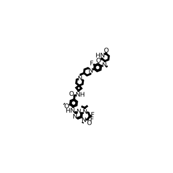 COc1cc(C(=O)NC2CC3(CCN(CC4CCN(c5ccc(N(C)C6CCC(=O)NC6=O)cc5F)CC4)CC3)C2)ccc1Nc1ncc2c(n1)N(C(C)C)CC(F)(F)C(=O)N2C